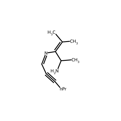 CCCC#C/C=N\C(=C(C)C)C(C)N